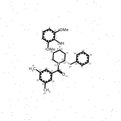 COc1cccc(OC)c1N[C@H]1CCN(C(=O)c2cc(C)cc(C)c2)[C@@H](Cc2ccccc2)C1